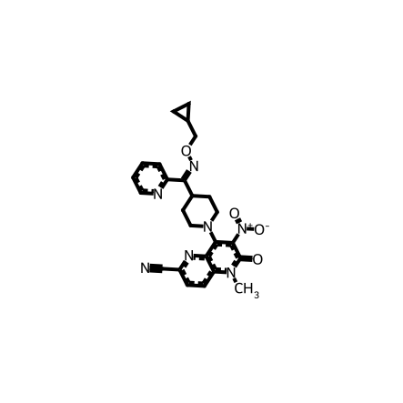 Cn1c(=O)c([N+](=O)[O-])c(N2CCC(/C(=N/OCC3CC3)c3ccccn3)CC2)c2nc(C#N)ccc21